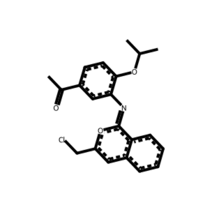 CC(=O)c1ccc(OC(C)C)c(/N=c2\oc(CCl)cc3ccccc23)c1